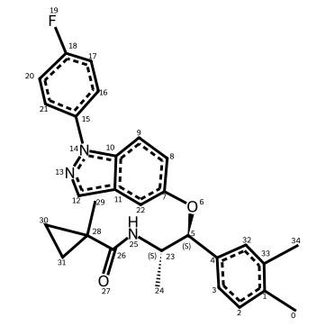 Cc1ccc([C@H](Oc2ccc3c(cnn3-c3ccc(F)cc3)c2)[C@H](C)NC(=O)C2(C)CC2)cc1C